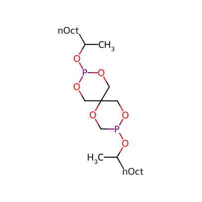 CCCCCCCCC(C)OP1COC2(CO1)COP(OC(C)CCCCCCCC)OC2